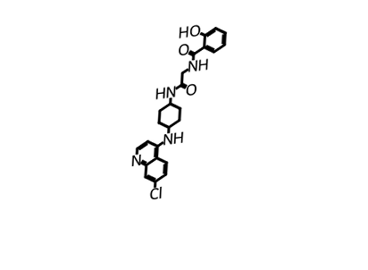 O=C(CNC(=O)c1ccccc1O)NC1CCC(Nc2ccnc3cc(Cl)ccc23)CC1